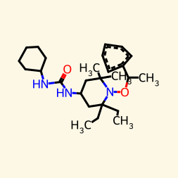 CCC1(CC)CC(NC(=O)NC2CCCCC2)CC(C)(C)N1OC(C)c1ccccc1